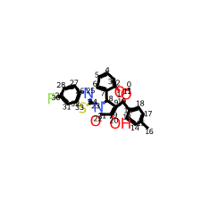 COc1ccccc1C1C(C(=O)c2ccc(C)cc2)=C(O)C(=O)N1c1nc2ccc(F)cc2s1